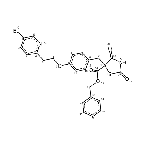 CCc1ccc(CCOc2ccc(CC3(C(=O)OCc4ccccc4)SC(=O)NC3=O)cc2)nc1